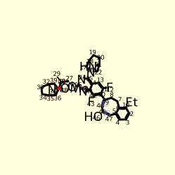 CCc1cccc2c1CC/C(c1c(F)cc3c(N4CC5CCC(C4)N5)nc(OC[C@H](C)CN4C5CCC4CC(OC)C5)nc3c1F)=C\C(O)=C/2